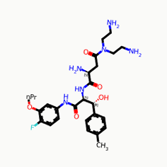 CCCOc1cc(NC(=O)[C@@H](NC(=O)[C@@H](N)CC(=O)N(CCN)CCN)[C@H](O)c2ccc(C)cc2)ccc1F